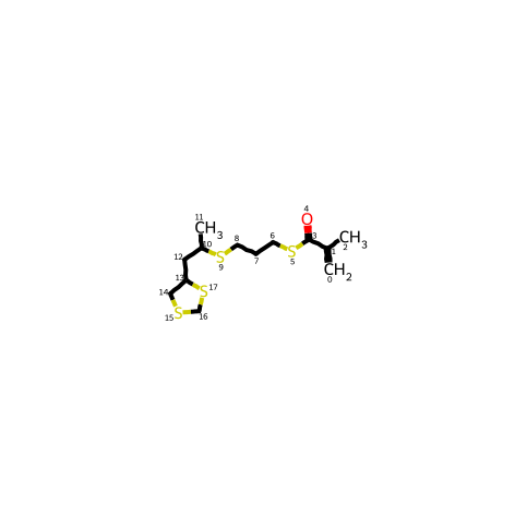 C=C(C)C(=O)SCCCSC(C)CC1CSCS1